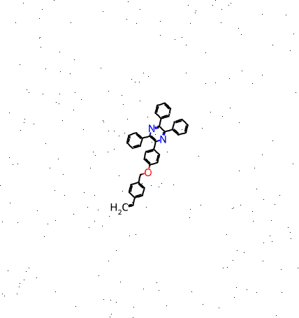 C=Cc1ccc(COc2ccc(-c3nc(-c4ccccc4)c(-c4ccccc4)nc3-c3ccccc3)cc2)cc1